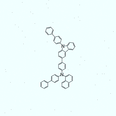 c1ccc(-c2ccc(N(c3ccc(-c4ccc5c(c4)c4ccccc4n5-c4ccc(-c5ccccc5)cc4)cc3)c3cccc4ccccc34)cc2)cc1